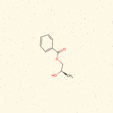 C[C@@H](O)COC(=O)c1ccccc1